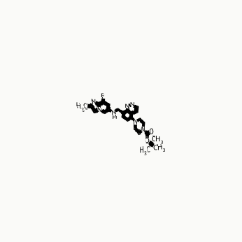 Cc1cn2cc(NCc3ccc(N4CCN(C(=O)OC(C)(C)C)CC4)c4ccnnc34)cc(F)c2n1